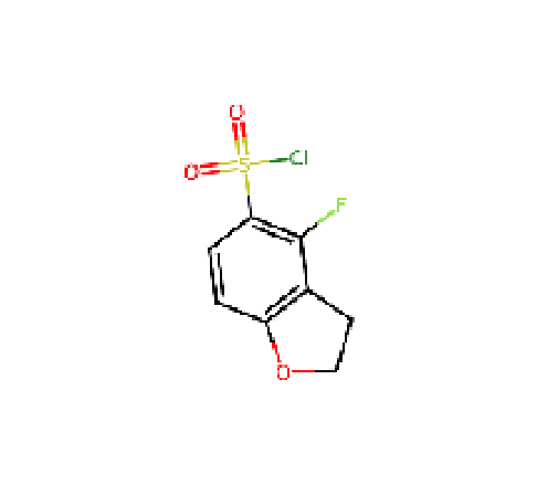 O=S(=O)(Cl)c1ccc2c(c1F)CCO2